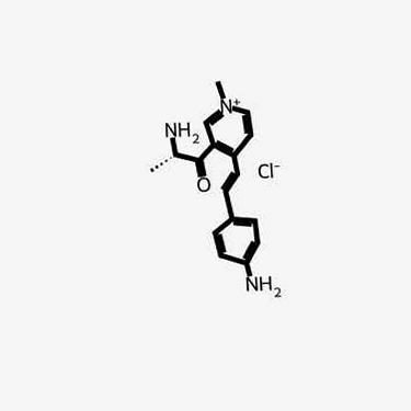 C[C@H](N)C(=O)c1c[n+](C)ccc1C=Cc1ccc(N)cc1.[Cl-]